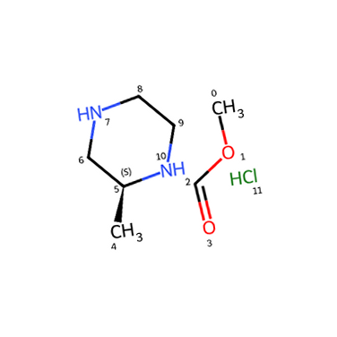 COC=O.C[C@H]1CNCCN1.Cl